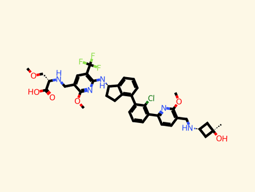 COC[C@H](NCc1cc(C(F)(F)F)c(N[C@H]2CCc3c(-c4cccc(-c5ccc(CN[C@H]6C[C@](C)(O)C6)c(OC)n5)c4Cl)cccc32)nc1OC)C(=O)O